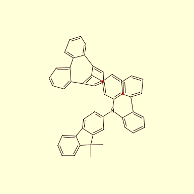 CC1(C)c2ccccc2-c2ccc(N(c3cccc(-c4c5cccc4-c4ccccc4-c4ccccc4-5)c3)c3ccccc3-c3ccccc3)cc21